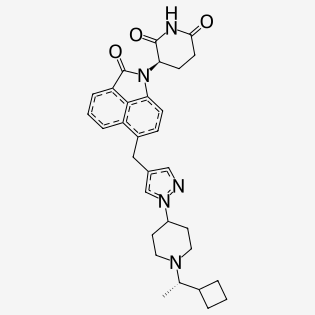 C[C@@H](C1CCC1)N1CCC(n2cc(Cc3ccc4c5c(cccc35)C(=O)N4[C@@H]3CCC(=O)NC3=O)cn2)CC1